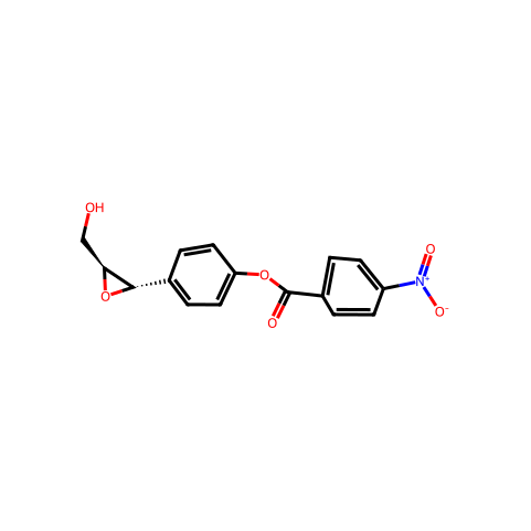 O=C(Oc1ccc([C@@H]2O[C@H]2CO)cc1)c1ccc([N+](=O)[O-])cc1